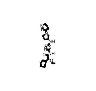 CCO[C@@H](C(=O)Nc1nnc(N[C@@H]2CCN(c3cccnn3)C2)s1)c1ccccc1